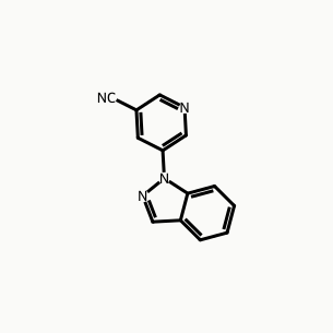 N#Cc1cncc(-n2ncc3ccccc32)c1